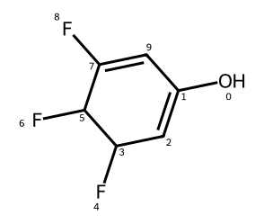 OC1=CC(F)C(F)C(F)=C1